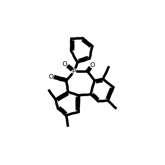 Cc1cc(C)c2c(c1)-c1cc(C)cc(C)c1C(=O)P(=O)(c1ccccc1)C2=O